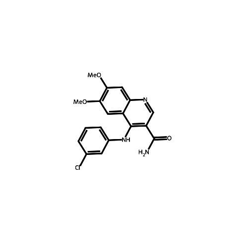 COc1cc2ncc(C(N)=O)c(Nc3cccc(Cl)c3)c2cc1OC